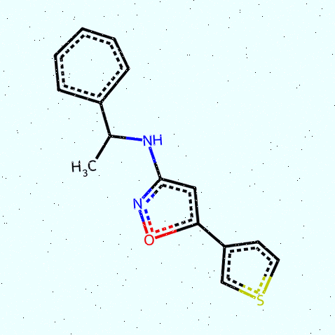 CC(Nc1cc(-c2ccsc2)on1)c1ccccc1